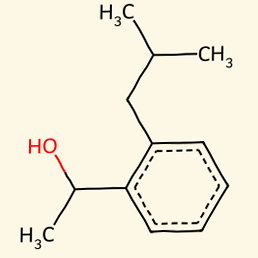 CC(C)Cc1ccccc1C(C)O